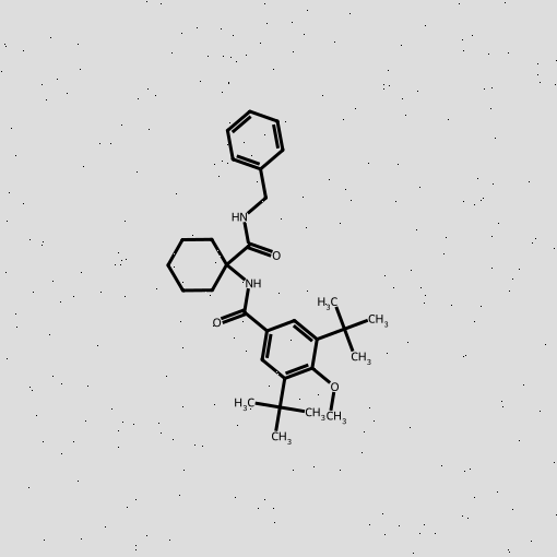 COc1c(C(C)(C)C)cc(C(=O)NC2(C(=O)NCc3ccccc3)CCCCC2)cc1C(C)(C)C